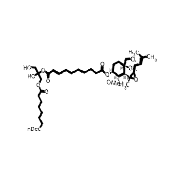 CCCCCCCCCCCCCCCCC(=O)OCC(O)(CO)OC(=O)CCCCCCCCC(=O)O[C@@H]1CC[C@](O)(CCl)[C@@H]([C@@]2(C)OC2CC=C(C)C)[C@@H]1OC